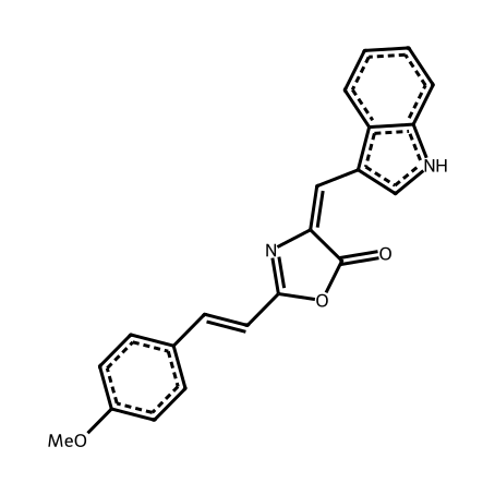 COc1ccc(C=CC2=NC(=Cc3c[nH]c4ccccc34)C(=O)O2)cc1